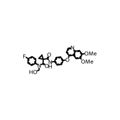 COc1cc2nccc(Oc3ccc(NC(=O)C4(C(=O)N(CO)c5ccc(F)cc5)CC4)cc3)c2cc1OC